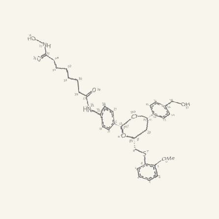 COc1ccccc1SC[C@H]1C[C@@H](c2ccc(CO)cc2)O[C@@H](c2ccc(NC(=O)CCCCCCC(=O)NO)cc2)O1